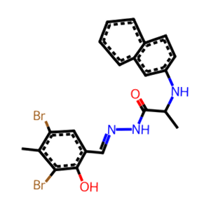 Cc1c(Br)cc(/C=N/NC(=O)C(C)Nc2ccc3ccccc3c2)c(O)c1Br